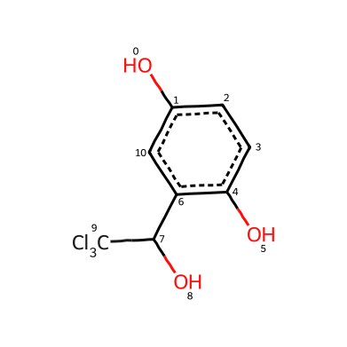 Oc1ccc(O)c(C(O)C(Cl)(Cl)Cl)c1